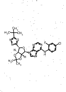 CC1(C)O[C@@H]2[C@@H](O1)[C@H](n1cnc3c(Nc4ccc(Cl)cc4F)ncnc31)O[C@@H]2c1nnc(C(C)(C)C)o1